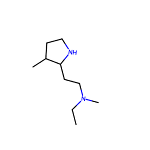 CCN(C)CCC1NCCC1C